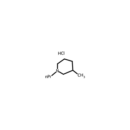 CCCN1CCCC(C)C1.Cl